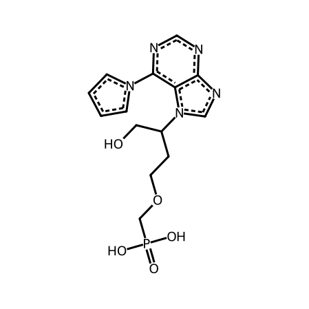 O=P(O)(O)COCCC(CO)n1cnc2ncnc(-n3cccc3)c21